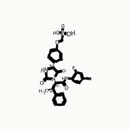 C[C@H](c1ccccc1)[C@@H](C(=O)Nc1ccc(I)cc1F)N1C(=O)N[C@H](c2ccc(OCP(=O)(O)O)cc2)C1=O